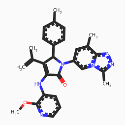 C=C(C)C1=C(Nc2cccnc2OC)C(=O)N(c2cc(C)c3nnc(C)n3c2)C1c1ccc(C)cc1